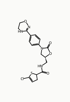 O=C(NC[C@H]1CN(c2ccc(C3=NOCCN3)cc2)C(=O)O1)C1CC=C(Cl)S1